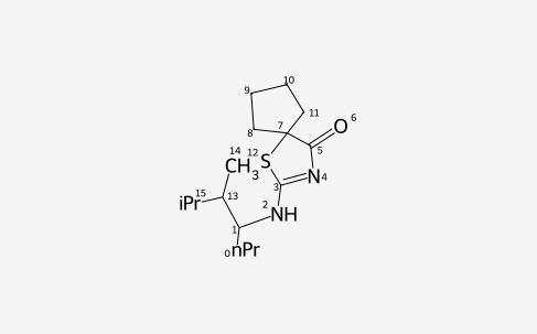 CCCC(NC1=NC(=O)C2(CCCC2)S1)C(C)C(C)C